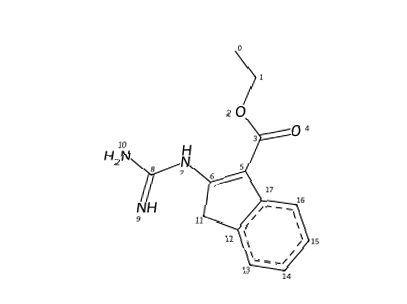 CCOC(=O)C1=C(NC(=N)N)Cc2ccccc21